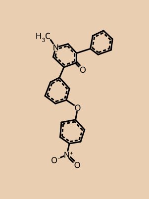 Cn1cc(-c2ccccc2)c(=O)c(-c2cccc(Oc3ccc([N+](=O)[O-])cc3)c2)c1